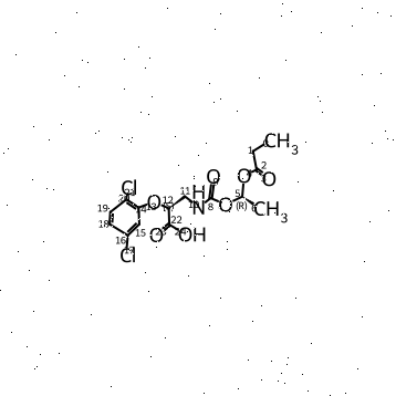 CCC(=O)O[C@@H](C)OC(=O)NC[C@H](Oc1cc(Cl)ccc1Cl)C(=O)O